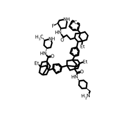 CCC12CC3CC(C(=O)N[C@H]4CCN[C@@H](C)C4)(C1)CC(c1ccc(C45CC6(CC)CC(C(=O)N[C@H]7CC[C@H](CN)CC7)(CC(c7ccc(C8C(CCC(=O)N[C@@H]9CCNC[C@@H]9F)CC9(c%10ccccc%10)CCCC8(CC)C9)cc7)(C6)C4)C5)cc1)(C3)C2